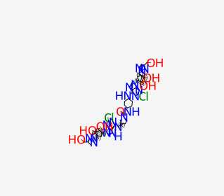 O=C(N[C@H]1CC[C@H](Nc2nc(Cl)nc3c2ncn3[C@@H]2C[C@H](n3ncc(CO)n3)[C@@H](O)[C@H]2O)CC1)N1CC[C@@H](Nc2nc(Cl)nc3c2ncn3[C@@H]2C[C@H](n3ncc(CO)n3)[C@@H](O)[C@H]2O)C1